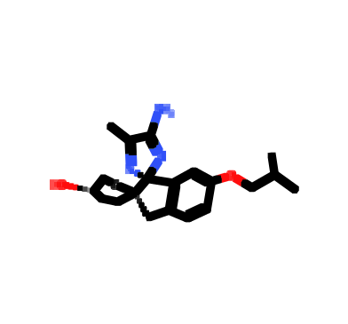 CC1=N[C@]2(N=C1N)c1cc(OCC(C)C)ccc1C[C@]21CC[C@@H](O)CC1